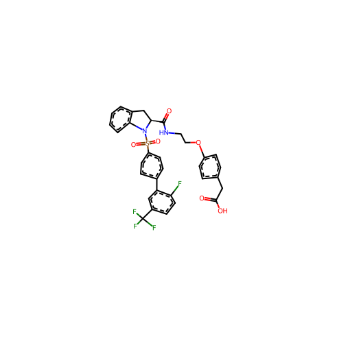 O=C(O)Cc1ccc(OCCNC(=O)[C@@H]2Cc3ccccc3N2S(=O)(=O)c2ccc(-c3cc(C(F)(F)F)ccc3F)cc2)cc1